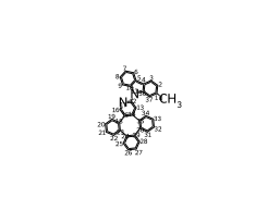 Cc1ccc2c3ccccc3n(-c3cc4c(cn3)-c3ccccc3-c3ccccc3-c3ccccc3-4)c2c1